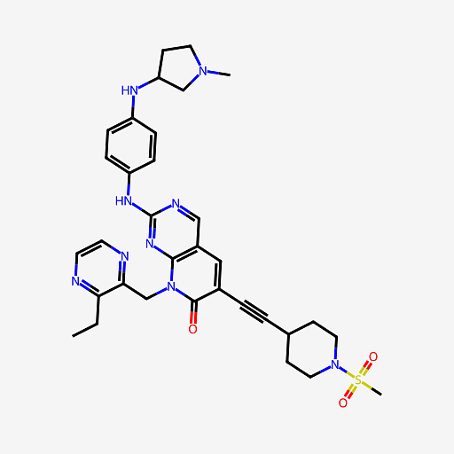 CCc1nccnc1Cn1c(=O)c(C#CC2CCN(S(C)(=O)=O)CC2)cc2cnc(Nc3ccc(NC4CCN(C)C4)cc3)nc21